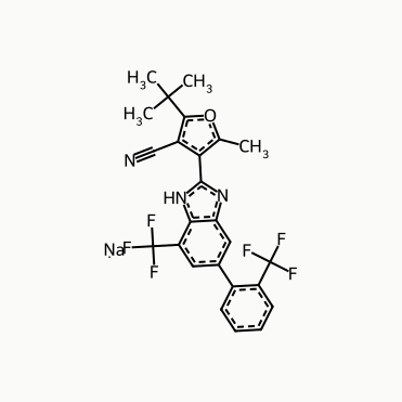 Cc1oc(C(C)(C)C)c(C#N)c1-c1nc2cc(-c3ccccc3C(F)(F)F)cc(C(F)(F)F)c2[nH]1.[Na]